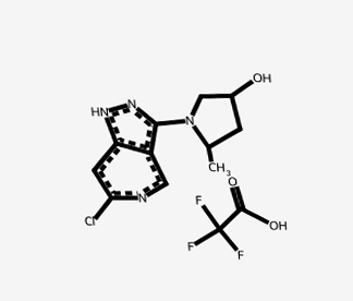 CC1CC(O)CN1c1n[nH]c2cc(Cl)ncc12.O=C(O)C(F)(F)F